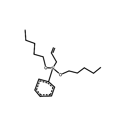 C=CC[Si](OCCCCC)(OCCCCC)c1ccccc1